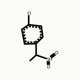 CC(c1ccc(Cl)cc1)[SH](=O)=O